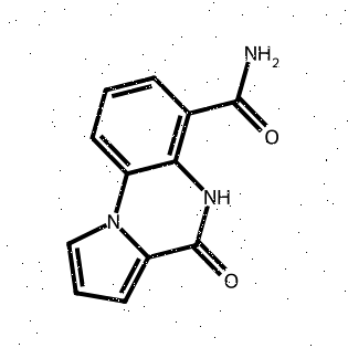 NC(=O)c1cccc2c1[nH]c(=O)c1cccn12